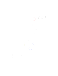 CCCCOc1ccc(-c2nnc(-c3ccccc3)s2)cc1